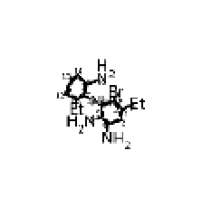 CCc1cc(N)c(N)cc1Br.CCc1cccc(N)c1N